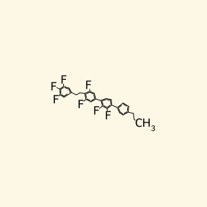 CCCc1ccc(-c2ccc(-c3cc(F)c(CCc4cc(F)c(F)c(F)c4)c(F)c3)c(F)c2F)cc1